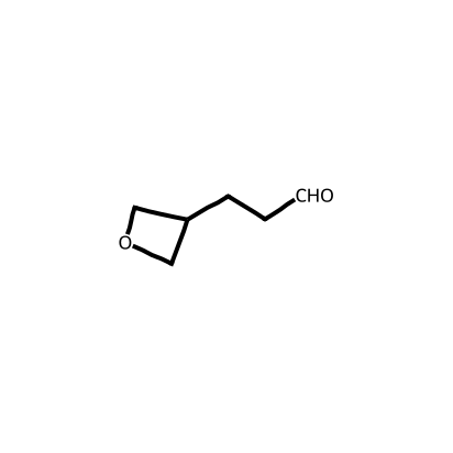 O=CCCC1COC1